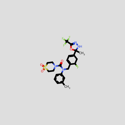 Cc1cccc(N(CC2=CC=C(C3(C)NN=C(C(F)(F)F)O3)CC2F)C(=O)N2CCS(=O)(=O)CC2)c1